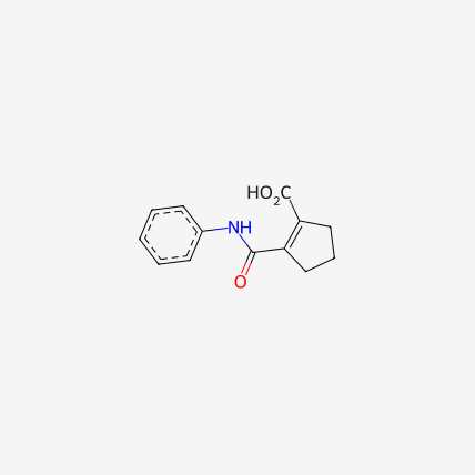 O=C(O)C1=C(C(=O)Nc2ccccc2)CCC1